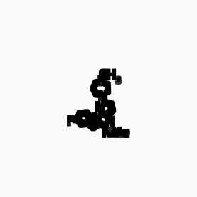 CNc1nc2ccc(N3CCCN(C)CC3)nc2n2c1cc1cc(F)ccc12